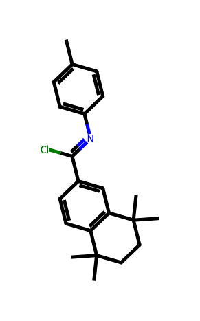 Cc1ccc(N=C(Cl)c2ccc3c(c2)C(C)(C)CCC3(C)C)cc1